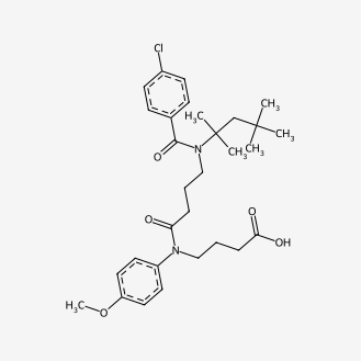 COc1ccc(N(CCCC(=O)O)C(=O)CCCN(C(=O)c2ccc(Cl)cc2)C(C)(C)CC(C)(C)C)cc1